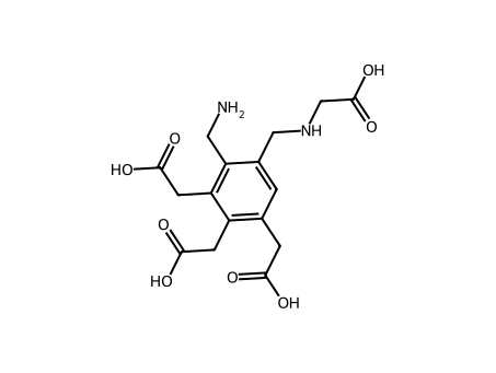 NCc1c(CNCC(=O)O)cc(CC(=O)O)c(CC(=O)O)c1CC(=O)O